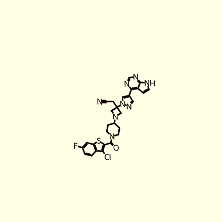 N#CCC1(n2cc(-c3ncnc4[nH]ccc34)cn2)CN(C2CCN(C(=O)c3sc4cc(F)ccc4c3Cl)CC2)C1